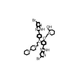 Brc1cnc2[nH]c(-c3ccc(OCCN4CCC(N5CCCCC5)CC4)cc3)nc2c1.OC[C@H]1CCCCN1CCOc1ccc(-c2nc3cc(Br)cnc3[nH]2)cc1